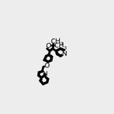 CC1(C)OCC(c2ccc(OCc3ccc4ccccc4n3)cc2)=C1c1ccncc1